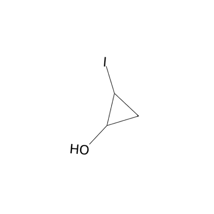 OC1CC1I